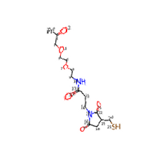 CC(C)C(=O)COCCOCCNC(=O)CCN1C(=O)CC(CS)C1=O